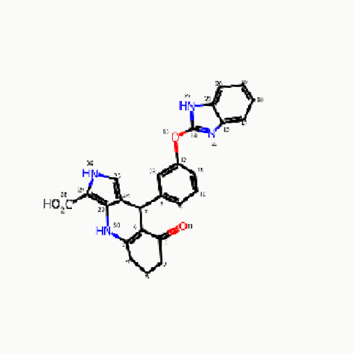 O=C1CCCC2=C1C(c1cccc(Oc3nc4ccccc4[nH]3)c1)c1c[nH]c(C(=O)O)c1N2